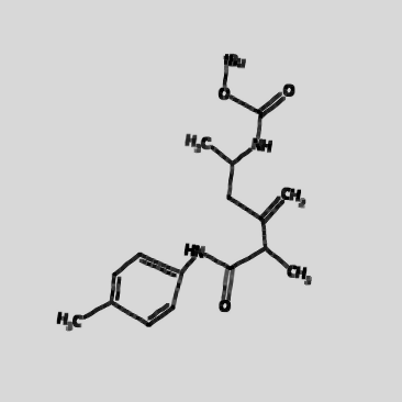 C=C(CC(C)NC(=O)OC(C)(C)C)C(C)C(=O)Nc1ccc(C)cc1